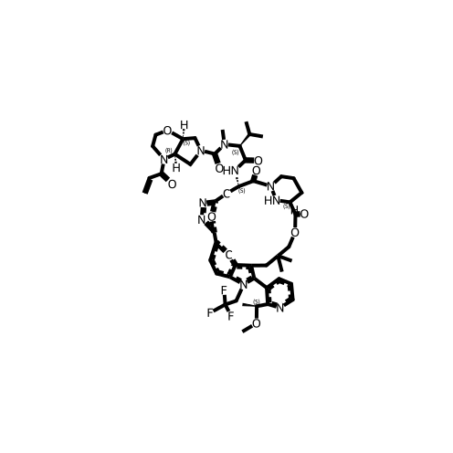 C=CC(=O)N1CCO[C@H]2CN(C(=O)N(C)[C@H](C(=O)N[C@H]3Cc4nnc(o4)-c4ccc5c(c4)c(c(-c4cccnc4[C@H](C)OC)n5CC(F)(F)F)CC(C)(C)COC(=O)[C@@H]4CCCN(N4)C3=O)C(C)C)C[C@H]21